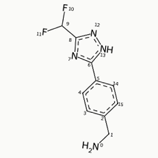 NCc1ccc(-c2nc(C(F)F)n[nH]2)cc1